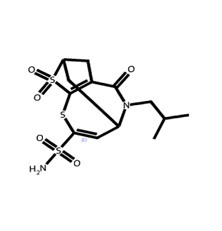 CC(C)CN1C(=O)C2=C3S/C(S(N)(=O)=O)=C\C1CC(C2)S3(=O)=O